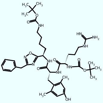 Cc1cc(O)cc(C)c1C[C@@H](NC(=O)[C@H](CCCNC(=N)N)NC(=O)OC(C)(C)C)C(=O)N[C@H](CCCCNC(=O)OC(C)(C)C)c1nc(Cc2ccccc2)no1